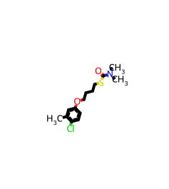 Cc1cc(OCCCCSC(=O)N(C)C)ccc1Cl